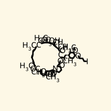 CO[C@H]1C[C@@H]2CC[C@@H](C)[C@@](O)(O2)C(=O)C(=O)N2CCCCC2C(=O)O[C@H]([C@H](C)C[C@@H]2CC[C@@H](OCCCI)[C@H](OC)C2)CC(=O)[C@H](C)/C=C(\C)[C@@H](O)[C@@H](OC)C(=O)[C@H](C)C[C@H](C)/C=C/C=C/C=C/1C